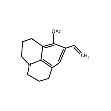 C=Cc1cc2c3c(c1OC(C)=O)CCCN3CCC2